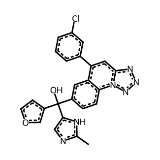 Cc1ncc(C(O)(c2ccoc2)c2ccc3c(c2)c(-c2cccc(Cl)c2)cc2nnnn23)[nH]1